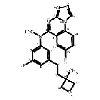 CN(c1cc(F)cc(CCC2(C)COC2)c1)c1nc2nncn2c2ccc(F)cc12